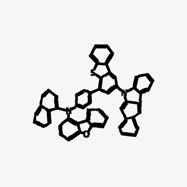 c1ccc2cc3c(cc2c1)c1ccccc1n3-c1cc(-c2ccc(N(c3cccc4ccccc34)c3cccc4oc5ccccc5c34)cc2)c2sc3ccccc3c2c1